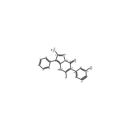 Cc1[nH]c2c(-c3ccccc3)c(C(F)(F)F)nn2c(=O)c1-c1cc#cc(Cl)c1